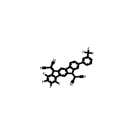 N#CC(C#N)=C1c2cc3c(cc2-c2c(F)c(F)c(F)c(F)c21)C(C(C#N)C#N)c1cc(-c2cccc(C(F)(F)F)c2)ccc1-3